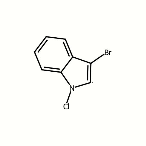 Cln1[c]c(Br)c2ccccc21